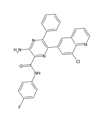 Nc1nc(-c2ccccc2)c(-c2cc(Cl)c3ncccc3c2)nc1C(=O)Nc1ccc(F)cc1